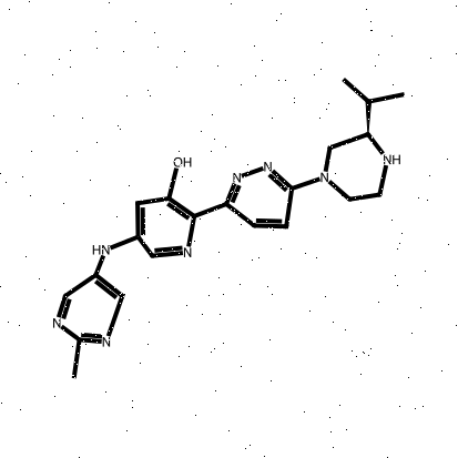 Cc1ncc(Nc2cnc(-c3ccc(N4CCN[C@H](C(C)C)C4)nn3)c(O)c2)cn1